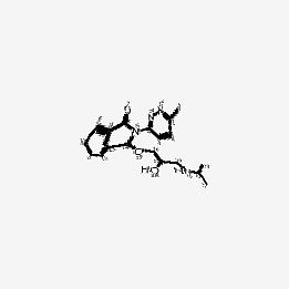 Cc1ccc(N2C(=O)c3ccccc3C2OCC(O)CNC(C)C)nn1